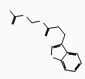 C[C@H](Cc1csc2ccccc12)C(=O)NCNC(=O)C(C)(C)C